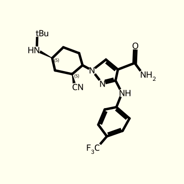 CC(C)(C)N[C@H]1CCC(n2cc(C(N)=O)c(Nc3ccc(C(F)(F)F)cc3)n2)[C@@H](C#N)C1